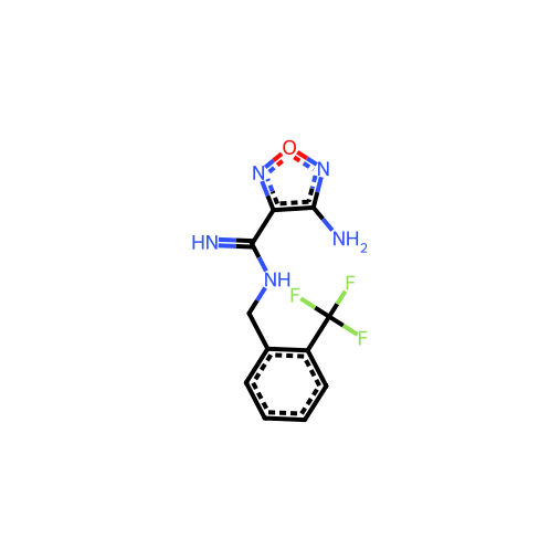 N=C(NCc1ccccc1C(F)(F)F)c1nonc1N